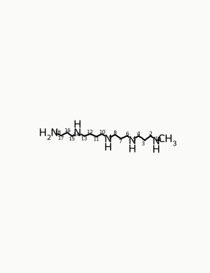 CNCCCNCCCNCCCCNCCCN